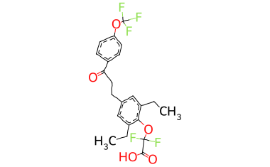 CCc1cc(CCC(=O)c2ccc(OC(F)(F)F)cc2)cc(CC)c1OC(F)(F)C(=O)O